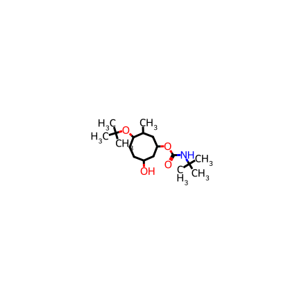 CC1CC(OC(=O)NC(C)(C)C)CC(O)CCC1OC(C)(C)C